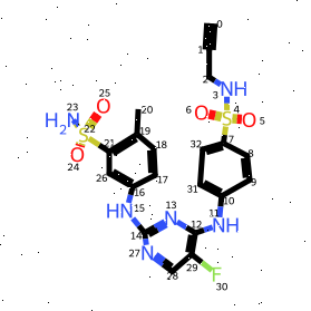 C#CCNS(=O)(=O)c1ccc(Nc2nc(Nc3ccc(C)c(S(N)(=O)=O)c3)ncc2F)cc1